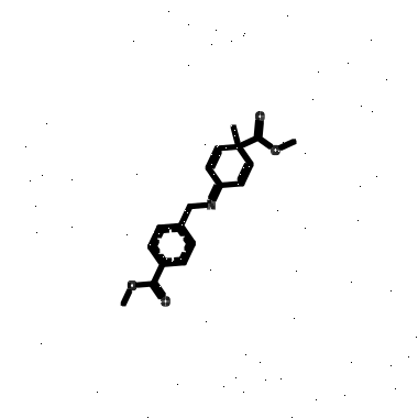 COC(=O)c1ccc(CN=C2C=CC(C)(C(=O)OC)C=C2)cc1